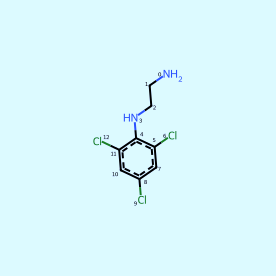 NCCNc1c(Cl)cc(Cl)cc1Cl